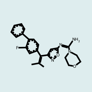 CC(C)=C(c1ccc(-c2ccccc2)c(F)c1)c1cc(/N=C(/N)N2CCOCC2)on1